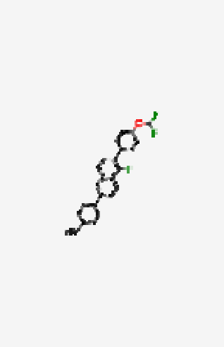 CCCc1ccc(-c2ccc3c(F)c(-c4ccc(OC(F)F)cc4)ccc3c2)cc1